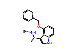 CC(C)NC(C)c1c[nH]c2cccc(OCc3ccccc3)c12